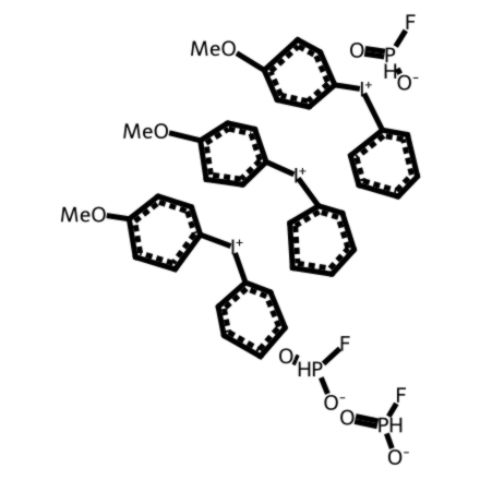 COc1ccc([I+]c2ccccc2)cc1.COc1ccc([I+]c2ccccc2)cc1.COc1ccc([I+]c2ccccc2)cc1.O=[PH]([O-])F.O=[PH]([O-])F.O=[PH]([O-])F